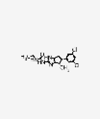 CCNC(=O)NC1=NC2C(C[C@H](c3cc(Cl)cc(Cl)c3)[C@@H]2C)N1